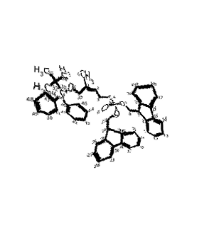 CC(=CCSP(=O)(OCC1c2ccccc2-c2ccccc21)OCC1c2ccccc2-c2ccccc21)CO[Si](c1ccccc1)(c1ccccc1)C(C)(C)C